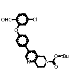 CC(C)(C)OC(=O)N1CCc2ncc(-c3ccc(Oc4cc(Cl)ccc4C=O)cc3)cc2C1